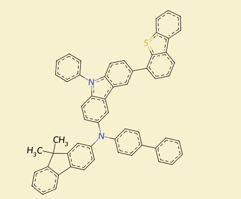 CC1(C)c2ccccc2-c2ccc(N(c3ccc(-c4ccccc4)cc3)c3ccc4c(c3)c3cc(-c5cccc6c5sc5ccccc56)ccc3n4-c3ccccc3)cc21